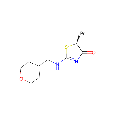 CC(C)[C@@H]1SC(NCC2CCOCC2)=NC1=O